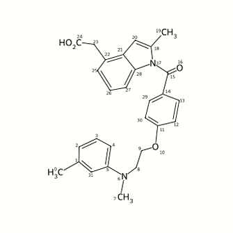 Cc1cccc(N(C)CCOc2ccc(C(=O)n3c(C)cc4c(CC(=O)O)cccc43)cc2)c1